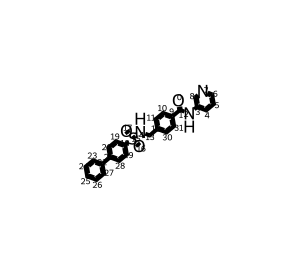 O=C(Nc1cccnc1)c1ccc(CNS(=O)(=O)c2ccc(-c3ccccc3)cc2)cc1